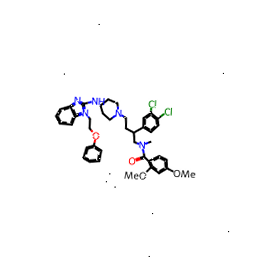 COc1ccc(C(=O)N(C)CC(CCN2CCC(Nc3nc4ccccc4n3CCOc3ccccc3)CC2)c2ccc(Cl)c(Cl)c2)c(OC)c1